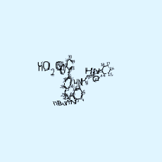 CCCCc1nc2ccc(NCCC(=O)NC3CCCCC3)cc2n1Cc1ccc(-c2ccccc2OC(=O)O)cc1